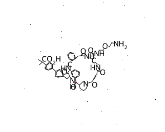 CC(C)(C(=O)O)c1ccc(-c2ccc(C[C@@H]3NC(=O)[C@]4(Cc5ccccc5)CCCN(C4)C(=O)/C=C/C(=O)NCC[C@@H](C(=O)NCCOCCN)NC(=O)Cc4ccccc4CNC3=O)cc2)cc1